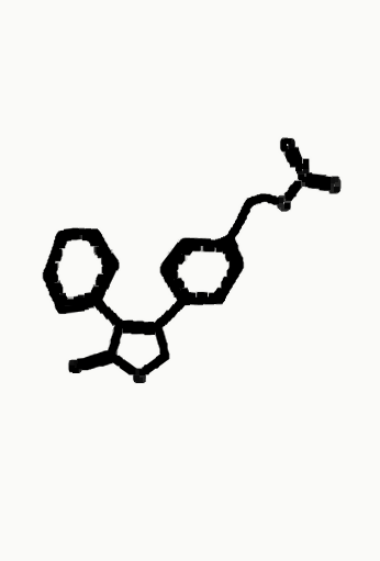 O=C1OCC(c2ccc(CO[SH](=O)=O)cc2)=C1c1ccccc1